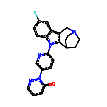 O=c1cccnn1-c1ccc(-n2c3c(c4cc(F)ccc42)CN2CCC3CC2)nc1